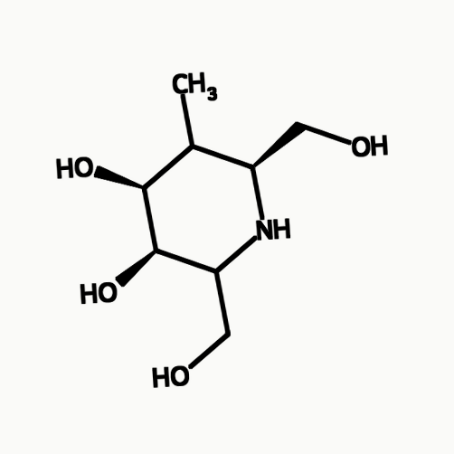 CC1[C@@H](CO)NC(CO)[C@@H](O)[C@H]1O